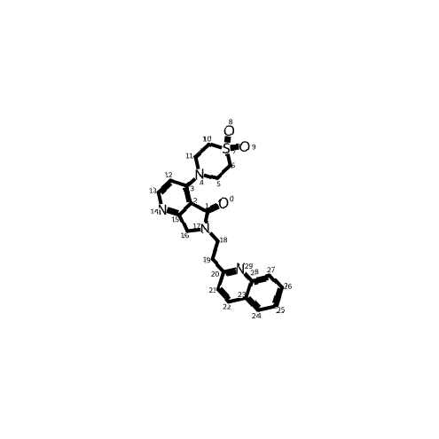 O=C1c2c(N3CCS(=O)(=O)CC3)ccnc2CN1CCc1ccc2ccccc2n1